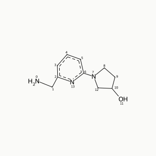 NCc1cccc(N2CCC(O)C2)n1